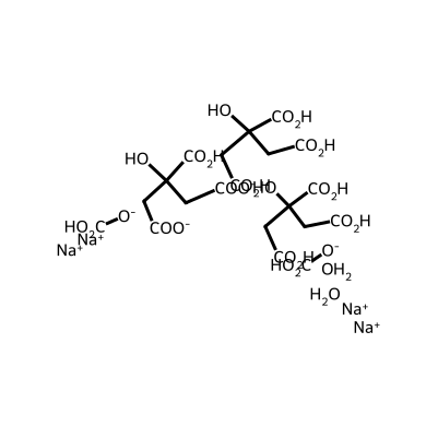 O.O.O=C(O)CC(O)(CC(=O)O)C(=O)O.O=C(O)CC(O)(CC(=O)O)C(=O)O.O=C([O-])CC(O)(CC(=O)[O-])C(=O)O.O=C([O-])O.O=C([O-])O.[Na+].[Na+].[Na+].[Na+]